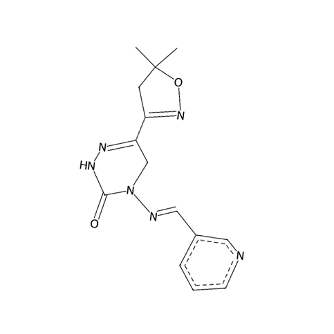 CC1(C)CC(C2=NNC(=O)N(/N=C/c3cccnc3)C2)=NO1